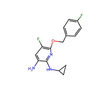 Nc1cc(F)c(OCc2ccc(F)cc2)nc1NC1CC1